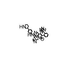 Cn1nnnc1-c1ccccc1-c1cc2cnc(Nc3ccc(C4CCCNC4)cc3)nc2n(Cc2nccs2)c1=O